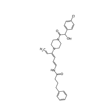 C=C/C(=C\C=C\NC(=O)CCCc1ccccc1)N1CCN(C(=O)C(O)c2ccc(Cl)cc2)CC1